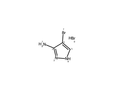 Br.Nc1n[nH]cc1Br